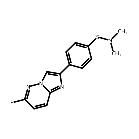 CN(C)Sc1ccc(-c2cn3nc(F)ccc3n2)cc1